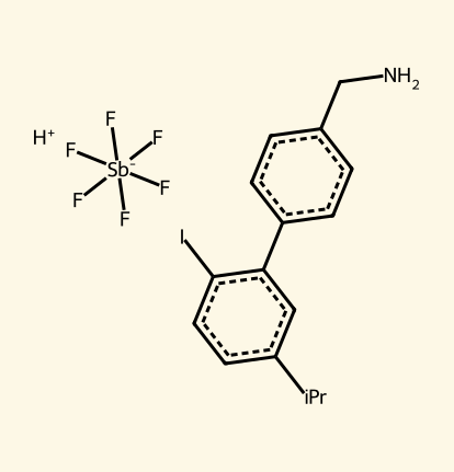 CC(C)c1ccc(I)c(-c2ccc(CN)cc2)c1.[F][Sb-]([F])([F])([F])([F])[F].[H+]